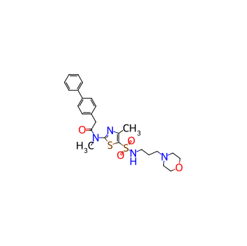 Cc1nc(N(C)C(=O)Cc2ccc(-c3ccccc3)cc2)sc1S(=O)(=O)NCCCN1CCOCC1